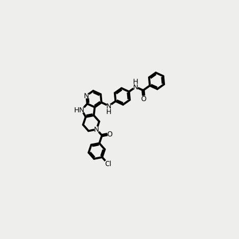 O=C(Nc1ccc(Nc2ccnc3[nH]c4c(c23)CN(C(=O)c2cccc(Cl)c2)CC4)cc1)c1ccccc1